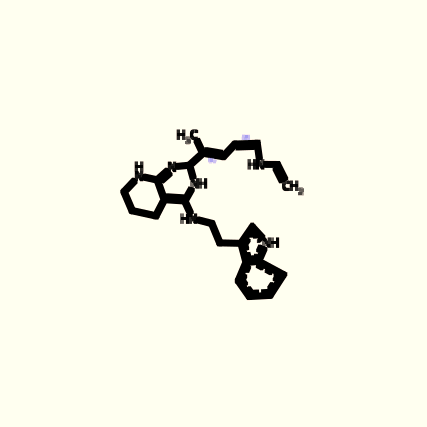 C=CN/C=C\C=C(/C)C1N=C2NCCCC2=C(NCCc2c[nH]c3ccccc23)N1